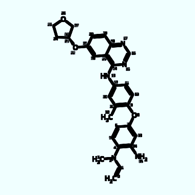 C=CN(C)c1ccc(Oc2ccc(Nc3ncnc4ccc(O[C@H]5CCOC5)cc34)cc2C)cc1N